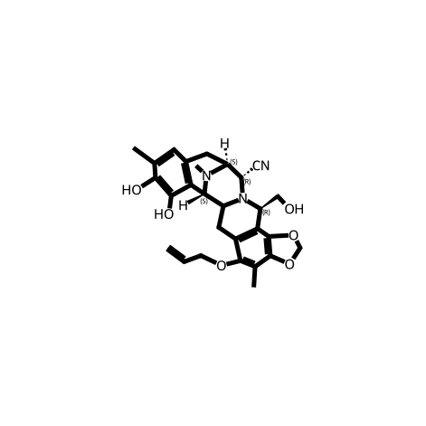 C=CCOc1c(C)c2c(c3c1CC1[C@@H]4c5c(cc(C)c(O)c5O)C[C@@H]([C@H](C#N)N1[C@H]3CO)N4C)OCO2